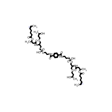 C/C=C\CCCC(=O)O[C@H](C)CC(=O)NC(COCC[C@@H](C)O)COP(=O)(O)OCCNC(=O)c1ccc(C(=O)NCCOP(=O)(O)OCC(COCC[C@@H](C)O)NC(=O)C[C@@H](C)OC(=O)CCC/C=C\C)cc1